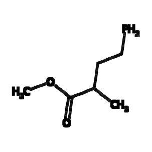 COC(=O)C(C)CCP